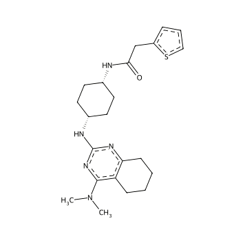 CN(C)c1nc(N[C@H]2CC[C@@H](NC(=O)Cc3cccs3)CC2)nc2c1CCCC2